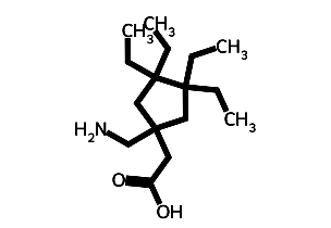 CCC1(CC)CC(CN)(CC(=O)O)CC1(CC)CC